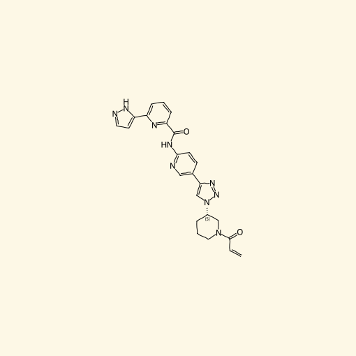 C=CC(=O)N1CCC[C@H](n2cc(-c3ccc(NC(=O)c4cccc(-c5ccn[nH]5)n4)nc3)nn2)C1